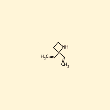 C=CC1(C=C)CCN1